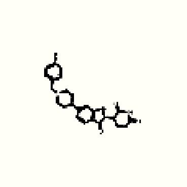 O=C1CCC(n2[nH]c3cc(C4CCN(Cc5ccc(F)cc5)CC4)ccc3c2=O)C(=O)N1